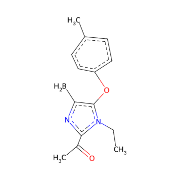 Bc1nc(C(C)=O)n(CC)c1Oc1ccc(C)cc1